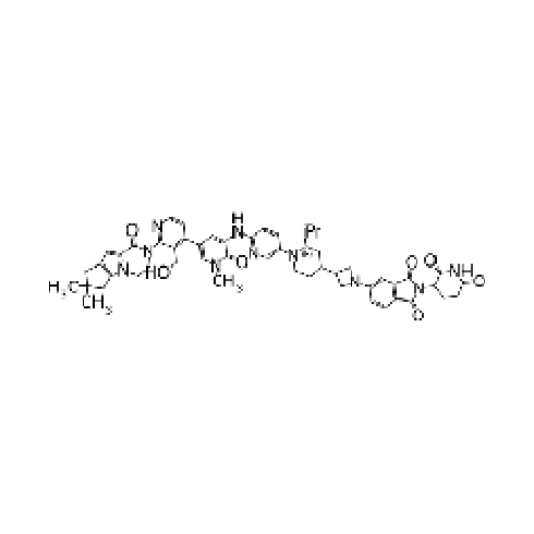 CC(C)[C@H]1CC(C2CN(c3ccc4c(c3)C(=O)N(C3CCC(=O)NC3=O)C4=O)C2)CCN1c1ccc(Nc2cc(-c3ccnc(N4CCn5c(cc6c5CC(C)(C)C6)C4=O)c3CO)cn(C)c2=O)nc1